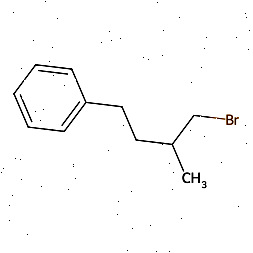 CC(CBr)CCc1ccccc1